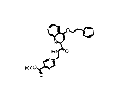 COC(=O)c1ccc(CNC(=O)c2cc(OCCc3ccccc3)c3ccccc3n2)cc1